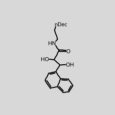 CCCCCCCCCCCCNC(=O)C(O)C(O)c1cccc2ccccc12